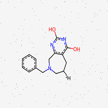 [2H]C1Cc2c(O)nc(O)nc2CN(Cc2ccccc2)C1